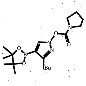 CC(C)(C)c1nn(OC(=O)N2CCCC2)cc1B1OC(C)(C)C(C)(C)O1